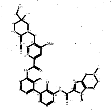 COc1cc(C(=O)Nc2cccc(-c3cccc(NC(=O)c4nc5c(n4C)CCN(C)C5)c3Cl)c2C)ncc1CN1CC(F)(CO)COC1=C=O